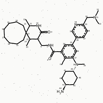 Cc1c(C(=O)NCC2C(=O)NC(C)C3(CCCCCCCC3)C2C)cc(-c2ccc(CN(C)C)nc2)cc1N(C)[C@H]1CC[C@H](N)CC1